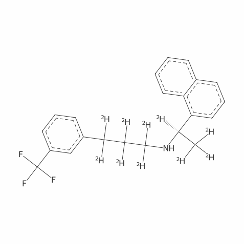 [2H]C([2H])(N[C@@]([2H])(c1cccc2ccccc12)C([2H])([2H])[2H])C([2H])([2H])C([2H])([2H])c1cccc(C(F)(F)F)c1